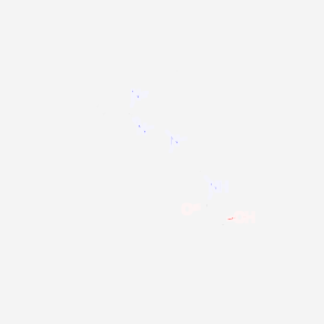 Cc1ccc2c(N3CCC(NC(=O)[C@@H](O)CC(C)C)CC3)nc(-c3ccccc3)nc2c1